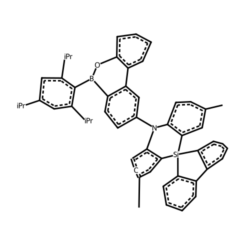 Cc1ccc2c(c1)[Si]1(c3ccccc3-c3ccccc31)c1cc(C)ccc1N2c1ccc2c(c1)-c1ccccc1OB2c1c(C(C)C)cc(C(C)C)cc1C(C)C